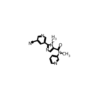 CN(C(=O)c1cnc(-c2cncc(C#N)c2)n1C)c1cccnc1